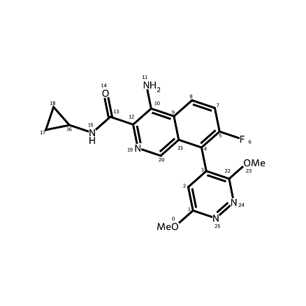 COc1cc(-c2c(F)ccc3c(N)c(C(=O)NC4CC4)ncc23)c(OC)nn1